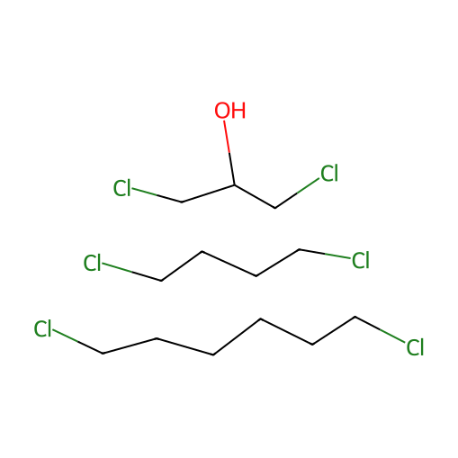 ClCCCCCCCl.ClCCCCCl.OC(CCl)CCl